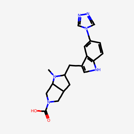 CN1C(Cc2c[nH]c3ccc(-n4cnnc4)cc23)CC2CN(C(=O)O)CC21